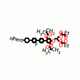 C=C(C)C(=O)Oc1cc(-c2ccc(-c3ccc(C4CCC(CCCCC)CC4)cc3F)cc2)c(OC(=O)C(=C)C)cc1OCC(COC(=O)C(=O)CC)COC(=O)C(=O)CC